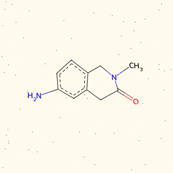 CN1Cc2ccc(N)cc2CC1=O